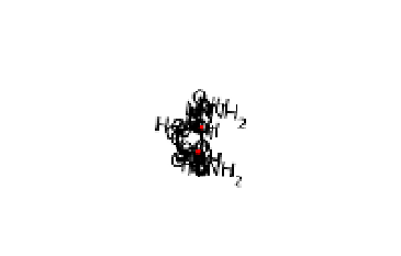 Nc1nc2c(ncn2[C@@H]2O[C@@H]3COP(=O)(O)OC4[C@@H]5OC[C@]4(COP(=O)(O)O[C@H]2C3O)O[C@H]5n2cnc3c(N)ccnc32)c(=O)[nH]1